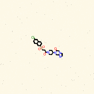 O=C(CCS(=O)(=O)c1ccc2cc(Cl)ccc2c1)N1CCC(N2Cc3nccn3CC2=O)CC1